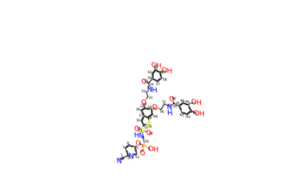 N#Cc1ccc(OP(=O)(O)CNS(=O)(=O)c2cc3cc(OCCNC(=O)c4ccc(O)c(O)c4)c(OCCNC(=O)c4ccc(O)c(O)c4)cc3s2)cn1